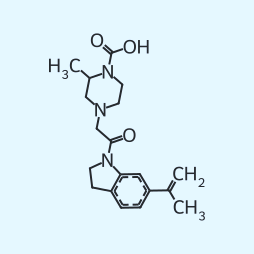 C=C(C)c1ccc2c(c1)N(C(=O)CN1CCN(C(=O)O)C(C)C1)CC2